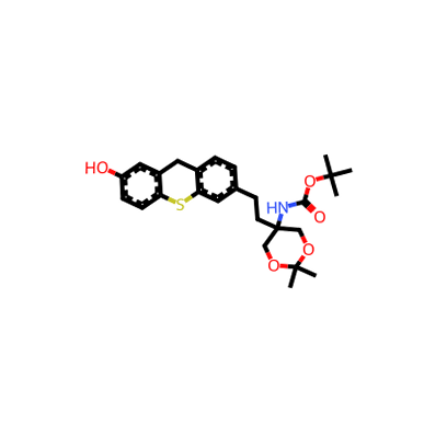 CC(C)(C)OC(=O)NC1(CCc2ccc3c(c2)Sc2ccc(O)cc2C3)COC(C)(C)OC1